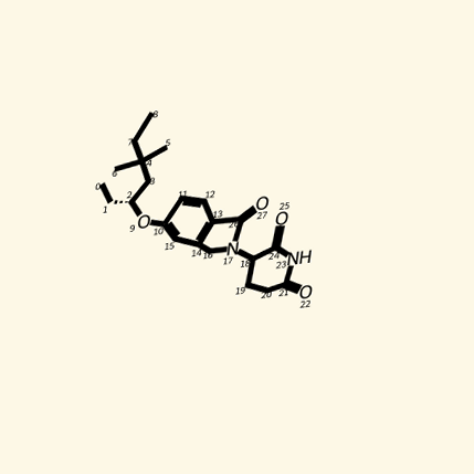 CC[C@H](CC(C)(C)CC)Oc1ccc2c(c1)CN(C1CCC(=O)NC1=O)C2=O